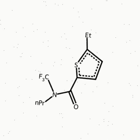 CCCN(C(=O)c1ccc(CC)s1)C(F)(F)F